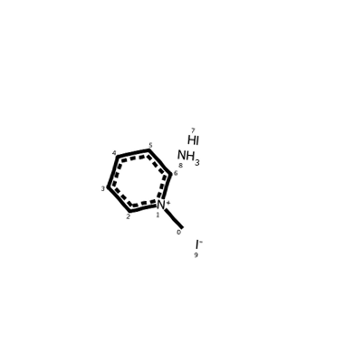 C[n+]1ccccc1.I.N.[I-]